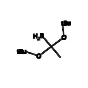 BC(C)(OC(C)(C)C)OC(C)(C)C